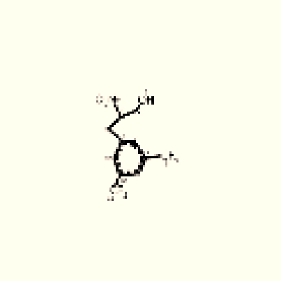 O=[N+]([O-])C(CO)Cc1cc(C(F)(F)F)cc(C(F)(F)F)c1